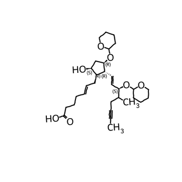 CC#CCC(C)[C@@H](C=C[C@@H]1[C@@H](CC=CCCCC(=O)O)[C@@H](O)C[C@H]1OC1CCCCO1)OC1CCCCO1